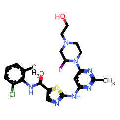 Cc1nc(Nc2ncc(C(=O)Nc3c(C)cccc3Cl)s2)cc(N2CCN(CCO)CC2I)n1